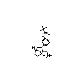 CN(C)C[C@H]1[C@H]2CC[C@H](C2)C[C@H]1c1cccc(OC(=O)C(C)(C)C)c1